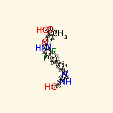 Cc1ccc(Oc2nc3c(F)c(-c4ccc(-c5ccc(CN6CC(NCCO)C6)cc5)cc4)c(F)cc3[nH]2)cc1C(=O)O